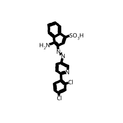 Nc1c(N=Nc2ccc(-c3ccc(Cl)cc3Cl)nc2)cc(S(=O)(=O)O)c2ccccc12